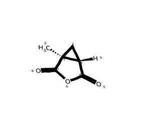 C[C@]12C[C@@H]1C(=O)OC2=O